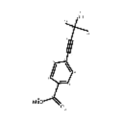 COC(=O)c1ccc(C#CC(C)(C)O)cc1